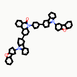 O=c1c2ccccc2c2cc(-c3ccc4c(c3)c3ccccc3n4-c3ccc4oc5ccccc5c4c3)ccc2n1-c1ccc(-c2ccc3c(c2)c2ccccc2n3-c2ccc3oc4ccccc4c3c2)cc1